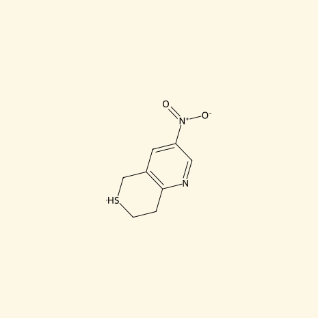 O=[N+]([O-])c1cnc2c(c1)C[SH]CC2